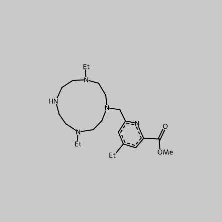 CCc1cc(CN2CCN(CC)CCNCCN(CC)CC2)nc(C(=O)OC)c1